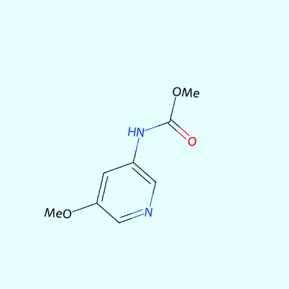 COC(=O)Nc1cncc(OC)c1